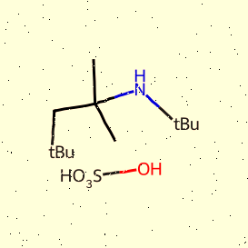 CC(C)(C)CC(C)(C)NC(C)(C)C.O=S(=O)(O)O